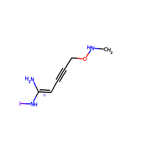 CNOCC#C/C=C(\N)NI